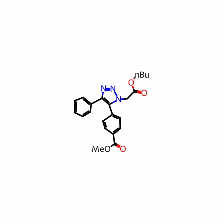 CCCCOC(=O)Cn1nnc(-c2ccccc2)c1-c1ccc(C(=O)OC)cc1